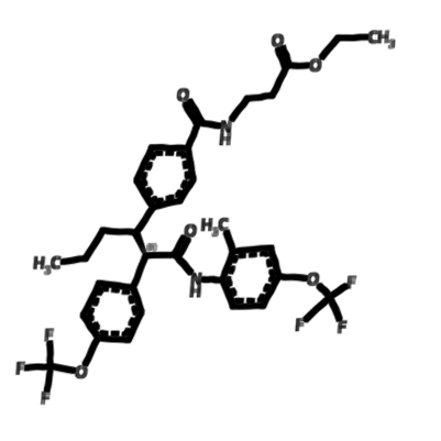 CCCC(c1ccc(C(=O)NCCC(=O)OCC)cc1)[C@@H](C(=O)Nc1ccc(OC(F)(F)F)cc1C)c1ccc(OC(F)(F)F)cc1